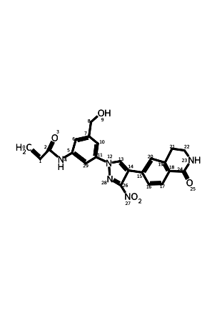 C=CC(=O)Nc1cc(CO)cc(-n2cc(-c3ccc4c(c3)CCNC4=O)c([N+](=O)[O-])n2)c1